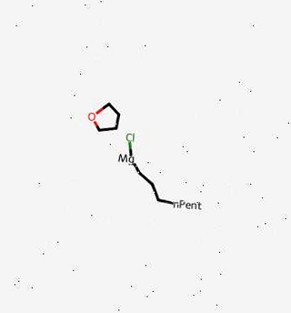 C1CCOC1.CCCCCCC[CH2][Mg][Cl]